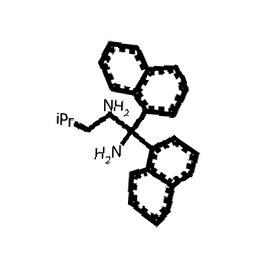 CC(C)CC(N)C(N)(c1cccc2ccccc12)c1cccc2ccccc12